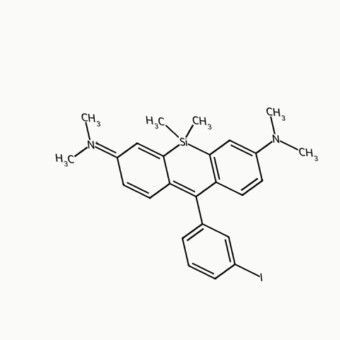 CN(C)c1ccc2c(c1)[Si](C)(C)C1=CC(=[N+](C)C)C=CC1=C2c1cccc(I)c1